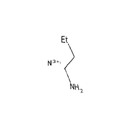 CCCCN.[N+3]